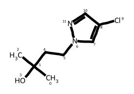 CC(C)(O)CCn1cc(Cl)cn1